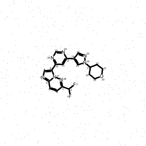 FC(F)c1ccc2ncc(-c3cc(-c4cnn(C5CCOCC5)c4)ncn3)n2n1